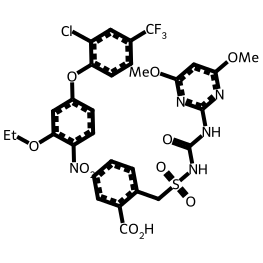 CCOc1cc(Oc2ccc(C(F)(F)F)cc2Cl)ccc1[N+](=O)[O-].COc1cc(OC)nc(NC(=O)NS(=O)(=O)Cc2ccccc2C(=O)O)n1